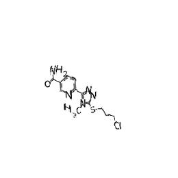 Cn1c(SCCCCl)nnc1-c1ccc(C(N)=O)cn1